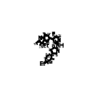 CCN1CCN(C2=CN=C(Nc3ncc(F)c(-c4ccc5c(c4)C(C)(CC)C(C)=N5)n3)CC2)CC1